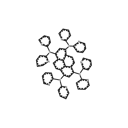 c1ccc(N(c2ccccn2)c2cc(N(c3ccccn3)c3ccccn3)c3ccc4c(N(c5ccccn5)c5ccccn5)cc(N(c5ccccn5)c5ccccn5)c5ccc2c3c54)nc1